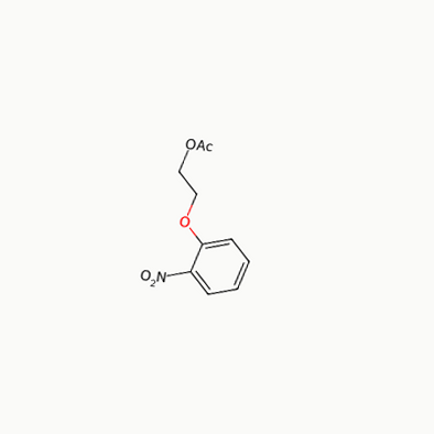 CC(=O)OCCOc1ccccc1[N+](=O)[O-]